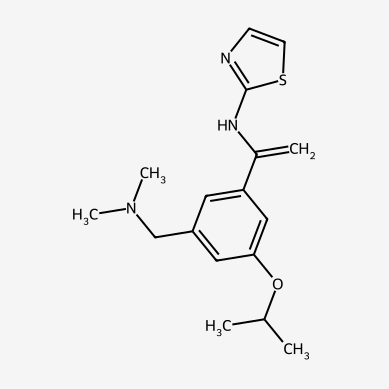 C=C(Nc1nccs1)c1cc(CN(C)C)cc(OC(C)C)c1